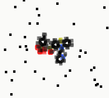 CN1CCCCC1CCN1c2ccccc2Sc2ccc([S+](C)[O-])cc21.Cc1ccc(S(=O)(=O)O)cc1